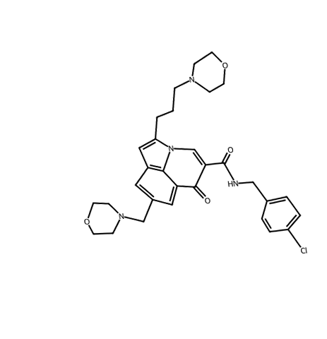 O=C(NCc1ccc(Cl)cc1)c1cn2c(CCCN3CCOCC3)cc3cc(CN4CCOCC4)cc(c1=O)c32